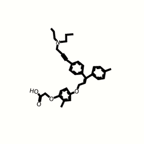 CCCN(CC#Cc1ccc(/C(=C\COc2ccc(OCC(=O)O)c(C)c2)c2ccc(C)cc2)cc1)CCC